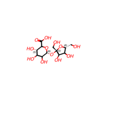 O=C(O)C1O[C@H](O[C@]2(CO)O[C@H](CO)C(O)C2O)C(O)C(O)[C@@H]1O